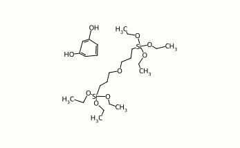 CCO[Si](CCCOCCC[Si](OCC)(OCC)OCC)(OCC)OCC.Oc1cccc(O)c1